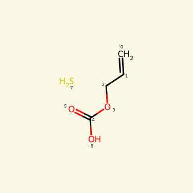 C=CCOC(=O)O.S